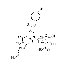 C=CCn1cc2c3c(cccc31)C1C[C@@H](C(=O)OC3CCCC(O)CC3)CN(CC)[C@@H]1C2.O=C(O)C(O)C(O)C(=O)O